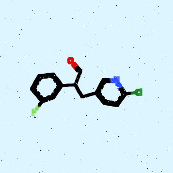 O=CC(Cc1ccc(Cl)nc1)c1cccc(F)c1